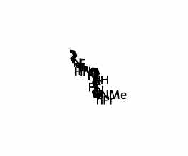 C\C=C/C=C\N=C\C(F)(F)CNc1cccc(NCC(F)(F)c2ccc(CCC)c(NC)n2)n1